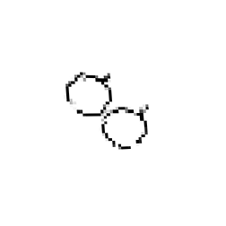 O=C1CCCCCCCCCCSC1.O=C1CCCCCCCCCSCC1